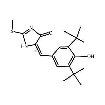 CSC1=NC(=O)/C(=C\c2cc(C(C)(C)C)c(O)c(C(C)(C)C)c2)N1